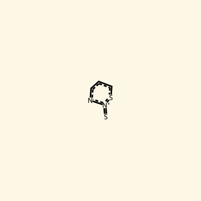 S=[n+]1ncccs1